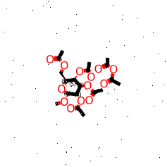 CC(=O)OC(C)=O.CO[C@@H]1O[C@@H](COC(C)=O)[C@H](OC(C)=O)[C@@H](OC(C)=O)[C@H]1OC(C)=O